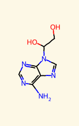 Nc1ncnc2c1ncn2C(O)CO